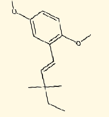 CCC(C)(C)/C=C/c1cc(OC)ccc1OC